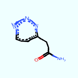 NC(=O)Cc1ccnnn1